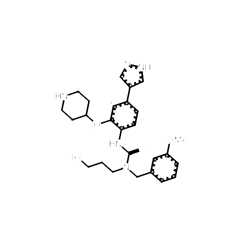 COc1cccc(CN(CCCO)C(=O)Nc2ccc(-c3cn[nH]c3)cc2OC2CCNCC2)c1